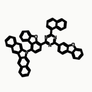 c1ccc2cc3c(cc2c1)c1cc2ccccc2cc1n3-c1ccc(-c2nc(-c3ccc4c(c3)oc3ccccc34)nc(-c3cccc4ccccc34)n2)c2oc3ccccc3c12